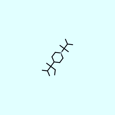 CCC(C)(C(C)C)C1CCN(C(C)(C)C(C)C)CC1